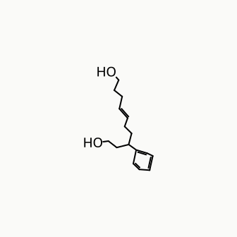 OCCCC=CCCC(CCO)c1ccccc1